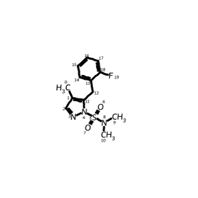 Cc1cnn(S(=O)(=O)N(C)C)c1Cc1ccccc1F